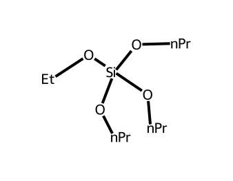 [CH2]CO[Si](OCCC)(OCCC)OCCC